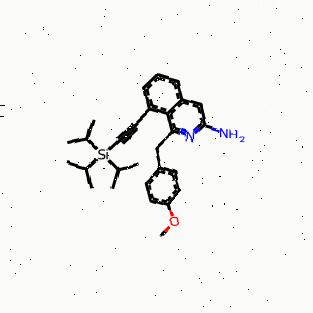 COc1ccc(Cc2nc(N)cc3cccc(C#C[Si](C(C)C)(C(C)C)C(C)C)c23)cc1